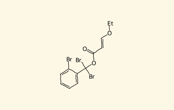 CCOC=CC(=O)OC(Br)(Br)c1ccccc1Br